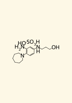 Nc1cc(NCCCO)ccc1N1CCCCCC1.O=S(=O)(O)O